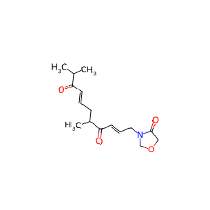 CC(C)C(=O)/C=C/CC(C)C(=O)/C=C/CN1COCC1=O